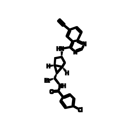 C#Cc1ccc2ncnc(N[C@@H]3C[C@@H]4[C@H](C3)[C@H]4[C@@H](CC)NC(=O)c3ccc(Cl)cc3)c2c1